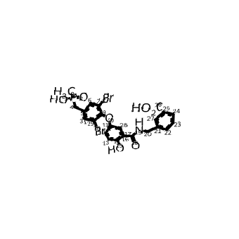 CP(=O)(O)Cc1cc(Br)c(Oc2ccc(O)c(C(=O)NCc3cccc(C(=O)O)c3)c2)c(Br)c1